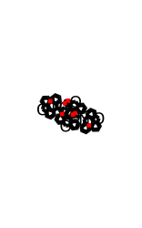 c1ccc(N(c2cc3c(o2)C2(c4ccccc4Oc4ccccc42)c2cc(N(c4ccccc4)c4cccc5oc6ccccc6c45)oc2C32c3ccccc3Oc3ccccc32)c2cccc3oc4ccccc4c23)cc1